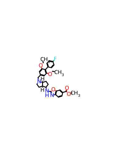 CCOc1cc(CN2CC[C@H]3C(Nc4nc5ccc(C(=O)OC)cc5o4)CC[C@H]32)cc(OCC)c1-c1ccc(F)cc1